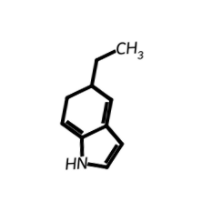 CCC1C=c2cc[nH]c2=CC1